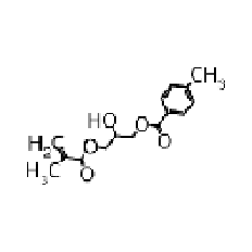 C=C(C)C(=O)OCC(O)COC(=O)c1ccc(C)cc1